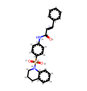 O=C(/C=C/c1ccccc1)Nc1ccc(S(=O)(=O)N2CCCc3ccccc32)cc1